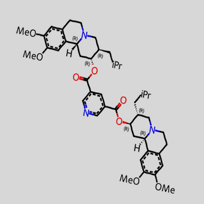 COc1cc2c(cc1OC)[C@H]1C[C@@H](OC(=O)c3cncc(C(=O)O[C@@H]4C[C@@H]5c6cc(OC)c(OC)cc6CCN5C[C@H]4CC(C)C)c3)[C@H](CC(C)C)CN1CC2